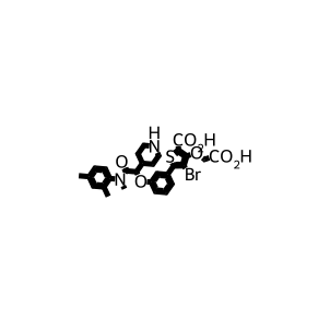 Cc1ccc(N(C)C(=O)C(Oc2cccc(-c3sc(C(=O)O)c(OCC(=O)O)c3Br)c2)C2CCNCC2)c(C)c1